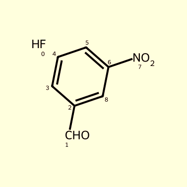 F.O=Cc1cccc([N+](=O)[O-])c1